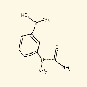 CN(C(N)=O)c1cccc(B(O)O)c1